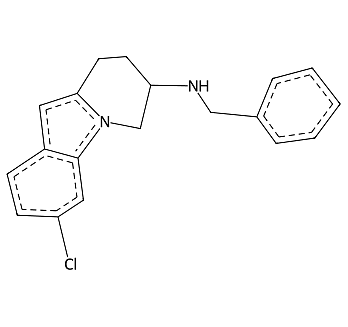 Clc1ccc2cc3n(c2c1)CC(NCc1ccccc1)CC3